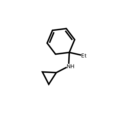 CCC1(NC2CC2)C=CC=CC1